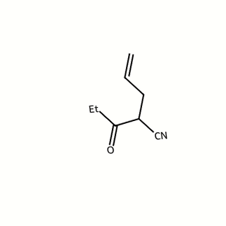 C=CCC(C#N)C(=O)CC